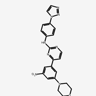 O=[N+]([O-])c1cc(-c2ccnc(Nc3ccc(-n4ccnn4)cc3)n2)cc(N2CCOCC2)c1